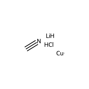 C#N.Cl.[Cu].[LiH]